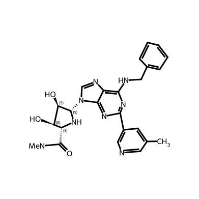 CNC(=O)[C@H]1N[C@@H](n2cnc3c(NCc4ccccc4)nc(-c4cncc(C)c4)nc32)[C@H](O)[C@@H]1O